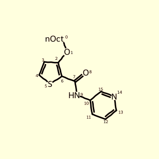 CCCCCCCCOc1ccsc1C(=O)Nc1cccnc1